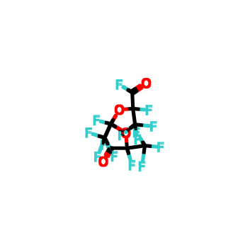 O=C(F)C(F)(OC(F)(OC(F)(C(=O)F)C(F)(F)F)C(F)(F)F)C(F)(F)F